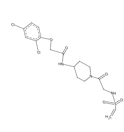 C=CS(=O)(=O)NCC(=O)N1CCC(NC(=O)COc2ccc(Cl)cc2Cl)CC1